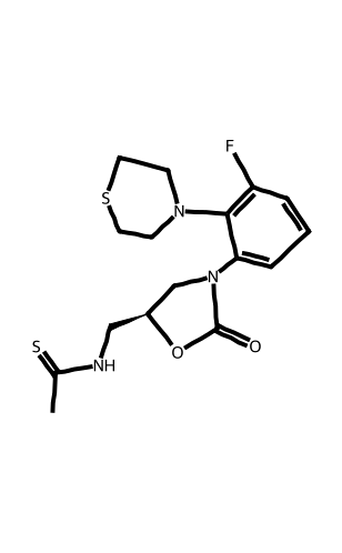 CC(=S)NC[C@H]1CN(c2cccc(F)c2N2CCSCC2)C(=O)O1